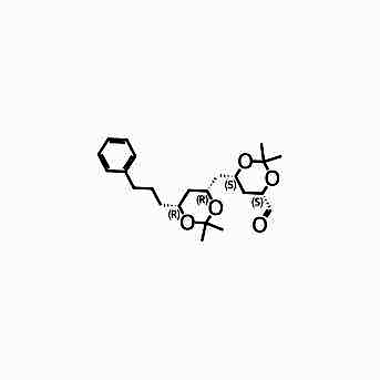 CC1(C)O[C@H](CCCc2ccccc2)C[C@H](C[C@H]2C[C@@H](C=O)OC(C)(C)O2)O1